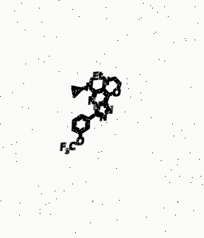 CCN1CCOc2c1c(N(C)C1CC1)nn1c(-c3cccc(OC(F)(F)F)c3)nnc21